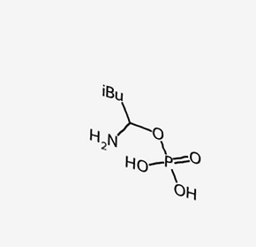 CCC(C)C(N)OP(=O)(O)O